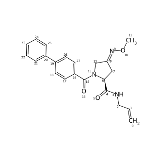 C=CCNC(=O)[C@@H]1CC(=NOC)CN1C(=O)c1ccc(-c2ccccc2)cc1